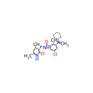 Cc1cc(C)c(CNC(=O)c2cc(Cl)cc(N(C)C3CCCCC3)c2C)c(=O)[nH]1